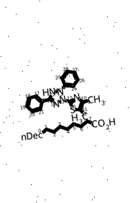 CCCCCCCCCCCCCCCCCC(=O)O.Cc1nc(N2N=C(c3ccccc3)NN2c2ccccc2)sc1C